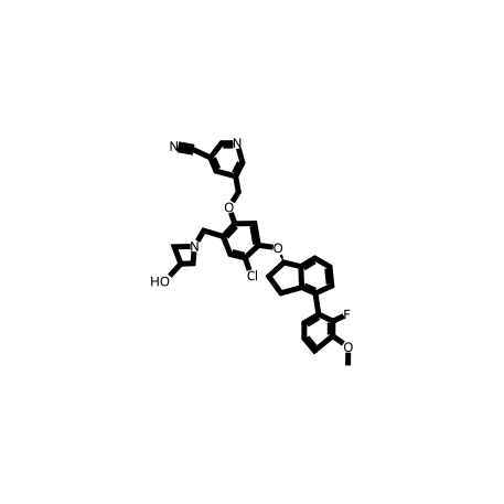 COc1cccc(-c2cccc3c2CC[C@@H]3Oc2cc(OCc3cncc(C#N)c3)c(CN3CC(O)C3)cc2Cl)c1F